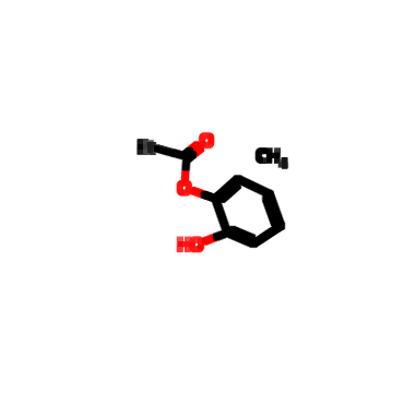 C.CCC(=O)Oc1ccccc1O